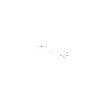 O=C(CCc1ccc(CNCC2CC2)cc1)NCCN1CCC(OC(=O)Nc2ccccc2-c2ccccc2)CC1